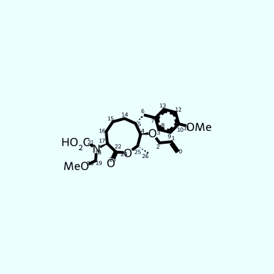 C=CCO[C@@H]1[C@@H](Cc2ccc(OC)cc2)CCC[C@H](N(COC)C(=O)O)C(=O)O[C@H]1C